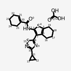 O=C(Nc1sc2c(c1-c1nc(C3CC3)ns1)CCCC2)C1=CCCCC1.O=C(O)O